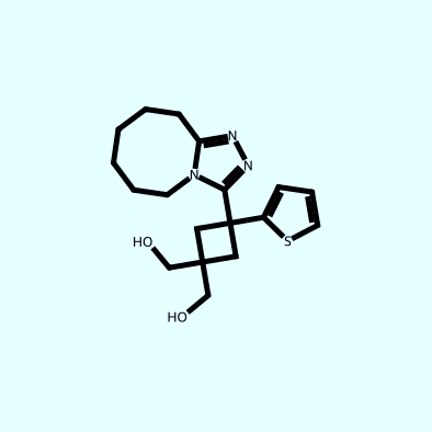 OCC1(CO)CC(c2cccs2)(c2nnc3n2CCCCCC3)C1